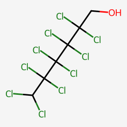 OCC(Cl)(Cl)C(Cl)(Cl)C(Cl)(Cl)C(Cl)(Cl)C(Cl)Cl